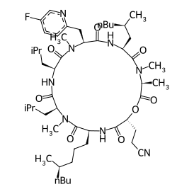 CCCC[C@@H](C)CCC[C@@H]1NC(=O)[C@@H](CCC#N)OC(=O)[C@H](C)N(C)C(=O)[C@H](C[C@H](C)CCCC)NC(=O)[C@H](Cc2ccc(F)cn2)N(C)C(=O)[C@H](CC(C)C)NC(=O)[C@H](CC(C)C)N(C)C1=O